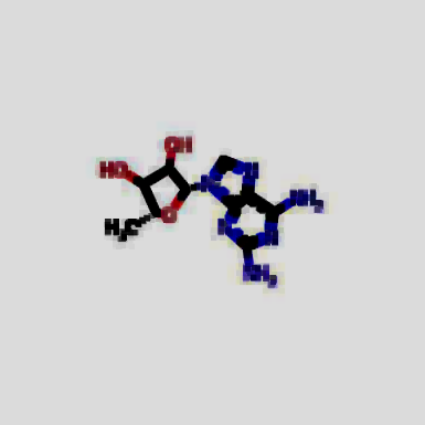 C[C@H]1O[C@@H](n2cnc3c(N)nc(N)nc32)C(O)C1O